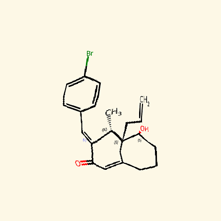 C=CC[C@@]12C(=CC(=O)/C(=C/c3ccc(Br)cc3)[C@@H]1C)CCC[C@@H]2O